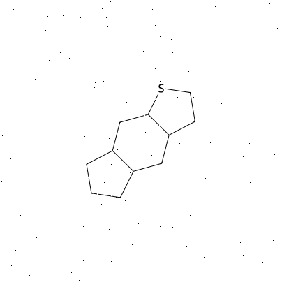 C1CC2CC3CCSC3CC2C1